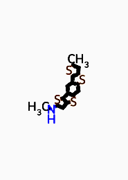 CNc1cc2sc3cc4sc5cc(C)sc5c4cc3c2s1